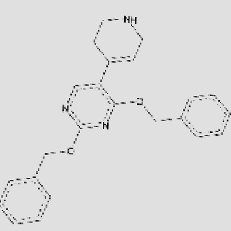 C1=C(c2cnc(OCc3ccccc3)nc2OCc2ccccc2)CCNC1